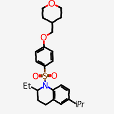 CCC1CCc2cc(C(C)C)ccc2N1S(=O)(=O)c1ccc(OCC2CCOCC2)cc1